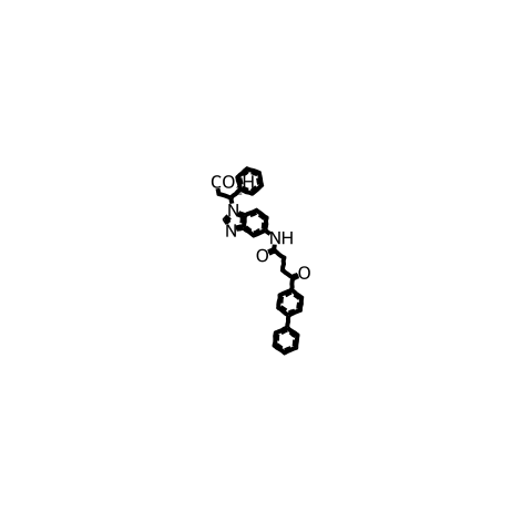 O=C(O)CC(c1ccccc1)n1cnc2cc(NC(=O)CCC(=O)c3ccc(-c4ccccc4)cc3)ccc21